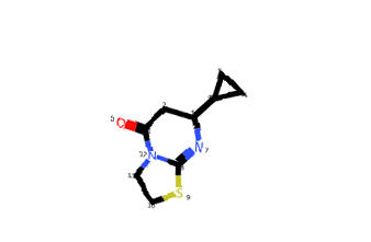 O=C1CC(C2CC2)N=C2SCCN12